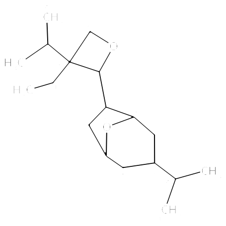 CCC1(C(C)C)COC1C1CC2CC(C(C)C)CC1O2